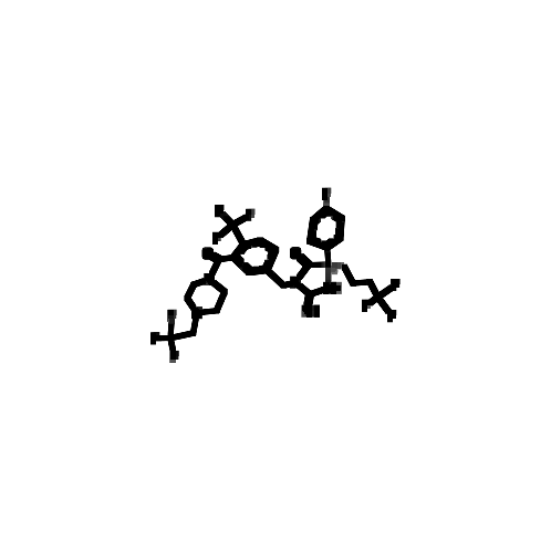 N=C1N[C@](CCCC(F)(F)F)(c2ccc(F)cc2)C(=O)N1Cc1ccc(C(F)(F)F)c(C(=O)N2CCN(CC(F)(F)F)CC2)c1